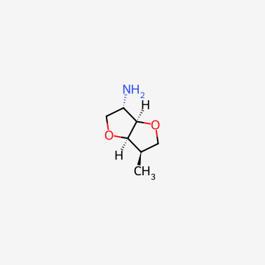 C[C@@H]1CO[C@H]2[C@@H]1OC[C@@H]2N